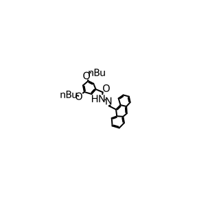 CCCCOc1cc(OCCCC)cc(C(=O)N/N=C/c2c3ccccc3cc3ccccc23)c1